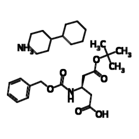 C1CCC(C2CCCCC2)CC1.CC(C)(C)OC(=O)C[C@@H](CC(=O)O)NC(=O)OCc1ccccc1.N